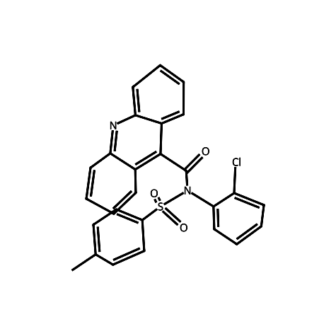 Cc1ccc(S(=O)(=O)N(C(=O)c2c3ccccc3nc3ccccc23)c2ccccc2Cl)cc1